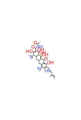 C/C=C(\C)CNCc1cc(N(C)C)c2c(c1O)C(=O)C1=C(O)C3C(CC1C2)[C@H](N(C)C)C(O)=C(C(=O)NC(C)=O)C3(O)O